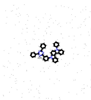 CN1C(c2ccccc2)=NC(c2ccccc2)=NC1c1cccc(-n2c3ccccc3c3c4c5ccccc5n(-c5ccccc5)c4ccc32)c1